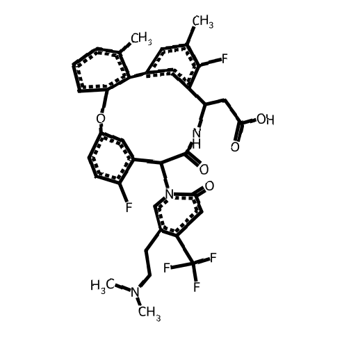 Cc1cc2cc(c1F)C(CC(=O)O)NC(=O)C(n1cc(CCN(C)C)c(C(F)(F)F)cc1=O)c1cc(ccc1F)Oc1cccc(C)c1-2